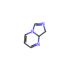 C1=CN2C=NCC2N=C1